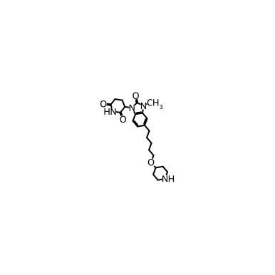 Cn1c(=O)n(C2CCC(=O)NC2=O)c2ccc(CCCCCOC3CCNCC3)cc21